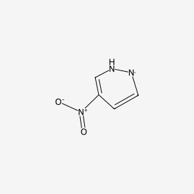 O=[N+]([O-])C1=CN[N]C=C1